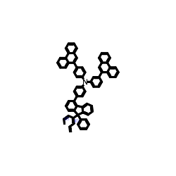 C=C/C=C(\C=C/C)C1(c2ccccc2)c2ccccc2-c2c(-c3ccc(N(c4ccc(-c5cc6ccccc6c6ccccc56)cc4)c4cccc(-c5cc6ccccc6c6ccccc56)c4)cc3)cccc21